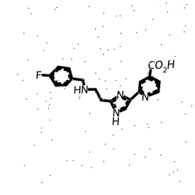 O=C(O)c1ccnc(-c2c[nH]c(CCNCc3ccc(F)cc3)n2)c1